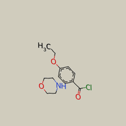 C1COCCN1.CCOc1ccc(C(=O)Cl)cc1